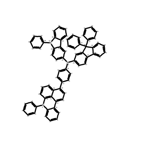 c1ccc(N2c3ccccc3-c3ccc(-c4ccc(N(c5ccc6c(c5)C(c5ccccc5)(c5ccccc5)c5ccccc5-6)c5ccc6c(c5)c5ccccc5n6-c5ccccc5)cc4)c4cccc2c34)cc1